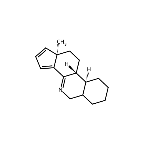 C[C@@]12C=CC=C1C1=NCC3CCCC[C@@H]3[C@H]1CC2